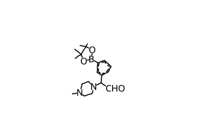 CN1CCN(C(C=O)c2cccc(B3OC(C)(C)C(C)(C)O3)c2)CC1